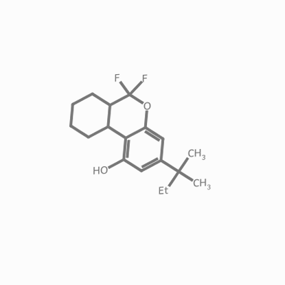 CCC(C)(C)c1cc(O)c2c(c1)OC(F)(F)C1CCCCC21